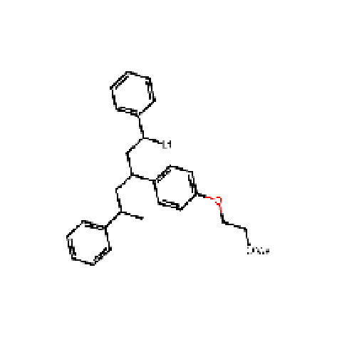 CCC(CC(CC(C)c1ccccc1)c1ccc(OCCOC)cc1)c1ccccc1